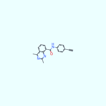 C#Cc1ccc(NC(=O)c2cccc3c(C)nc(C)nc23)cc1